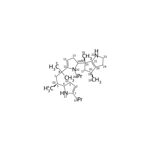 CC(C)C1=CCC([C@@H](C)CC(C)(C)C2=CCC([C@@]3(C)C[C@H](C)C4=C3NCC4)N2C(C)C)N1